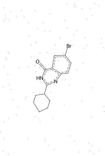 O=c1[nH]c(C2CCCCC2)nc2ccc(Br)cc12